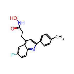 Cc1ccc(-c2cc(CCC(=O)NO)c3cc(F)ccc3n2)cc1